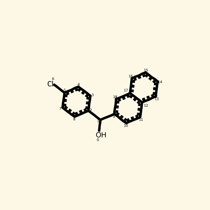 OC(c1ccc(Cl)cc1)c1ccc2ccccc2c1